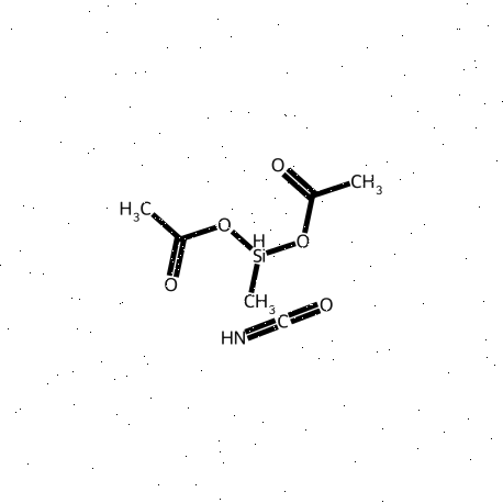 CC(=O)O[SiH](C)OC(C)=O.N=C=O